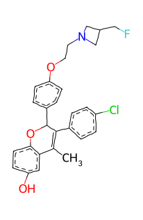 CC1=C(c2ccc(Cl)cc2)C(c2ccc(OCCN3CC(CF)C3)cc2)Oc2ccc(O)cc21